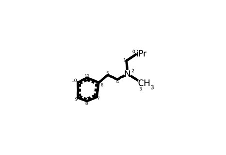 CC(C)CN(C)CCc1ccccc1